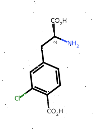 N[C@@H](Cc1ccc(C(=O)O)c(Cl)c1)C(=O)O